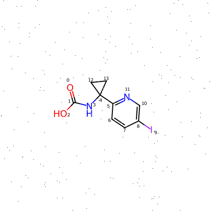 O=C(O)NC1(c2ccc(I)cn2)CC1